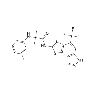 Cc1cccc(NC(C)(C)C(=O)Nc2nc3c(C(F)(F)F)cc4[nH]ncc4c3s2)c1